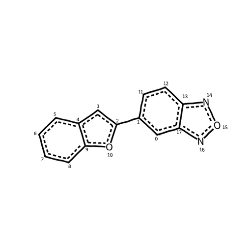 [c]1c(-c2cc3ccccc3o2)ccc2nonc12